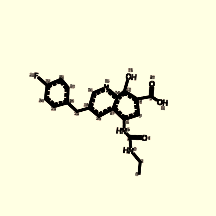 CCNC(=O)Nc1cc(C(=O)O)c(O)c2ncc(Cc3ccc(F)cc3)cc12